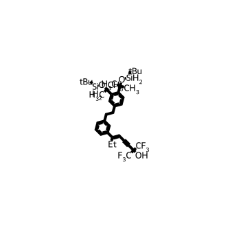 CCC(=CC#CC(O)(C(F)(F)F)C(F)(F)F)c1cccc(CCc2ccc(C(C)(C)O[SiH2]C(C)(C)C)c(C(C)(C)O[SiH2]C(C)(C)C)c2)c1